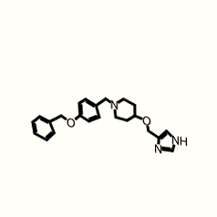 c1ccc(COc2ccc(CN3CCC(OCc4c[nH]cn4)CC3)cc2)cc1